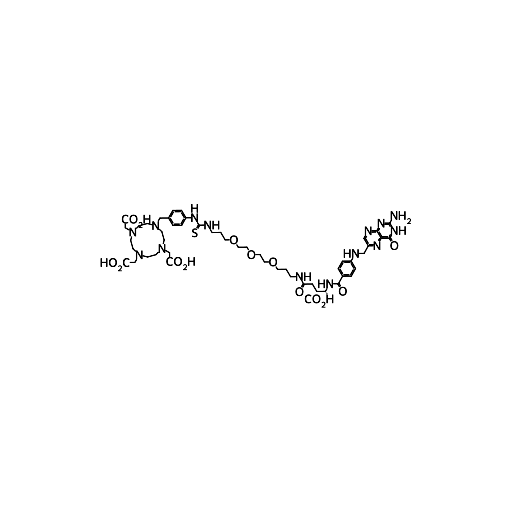 Nc1nc2ncc(CNc3ccc(C(=O)N[C@@H](CCC(=O)NCCCOCCOCCOCCCNC(=S)Nc4ccc(CN5CCN(CC(=O)O)CCN(CC(=O)O)CCN(CC(=O)O)CC5)cc4)C(=O)O)cc3)nc2c(=O)[nH]1